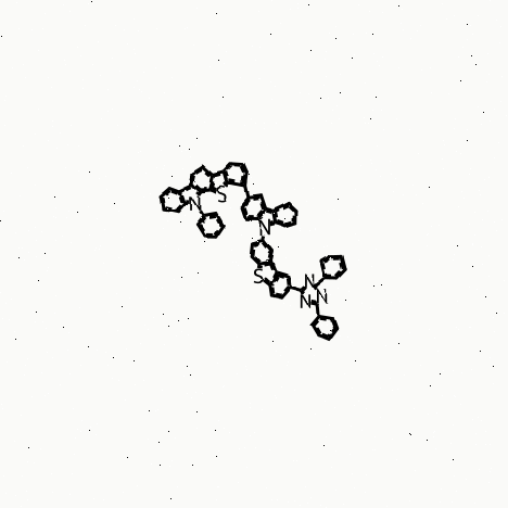 c1ccc(-c2nc(-c3ccccc3)nc(-c3ccc4sc5ccc(-n6c7ccccc7c7cc(-c8cccc9c8sc8c9ccc9c%10ccccc%10n(-c%10ccccc%10)c98)ccc76)cc5c4c3)n2)cc1